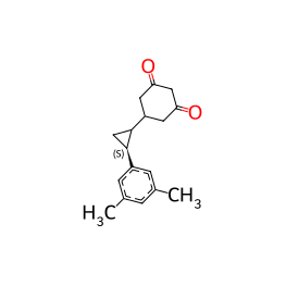 Cc1cc(C)cc([C@H]2CC2C2CC(=O)CC(=O)C2)c1